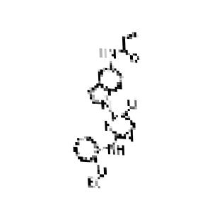 C=CC(=O)Nc1ccc2c(ccn2-c2nc(Nc3ccccc3OCC)ncc2Cl)c1